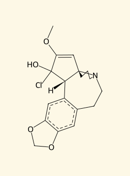 COC1=C[C@]23CCCN2CCc2cc4c(cc2[C@@H]3C1(O)Cl)OCO4